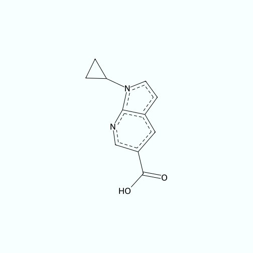 O=C(O)c1cnc2c(ccn2C2CC2)c1